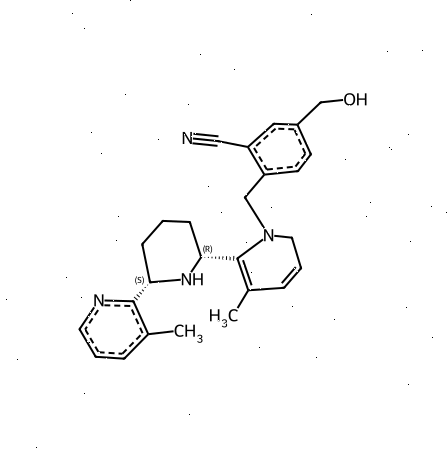 CC1=C([C@H]2CCC[C@@H](c3ncccc3C)N2)N(Cc2ccc(CO)cc2C#N)CC=C1